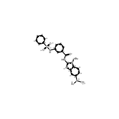 CCCCn1c(NC(=O)c2cccc(NS(=O)(=O)c3ccccc3)c2)nc2cc(N(C)C(C)=O)ccc21